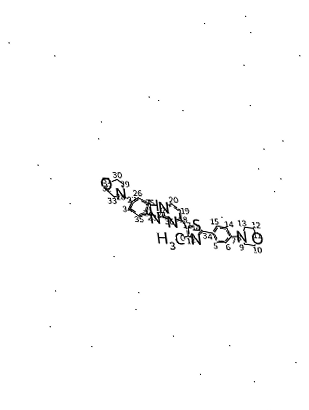 Cc1nc(-c2ccc(N3CCOCC3)cc2)sc1-c1ccnc(Nc2ccc(N3CCOCC3)cc2)n1